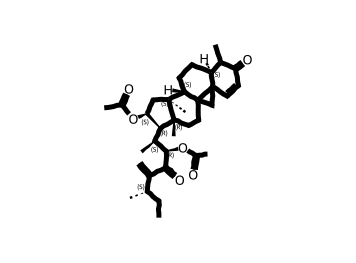 C=C(C(=O)[C@H](OC(C)=O)[C@@H](C)[C@H]1[C@@H](OC(C)=O)C[C@@]2(C)[C@@H]3CC[C@H]4C(C)C(=O)C=CC45CC35CC[C@]12C)[C@@H](C)CC